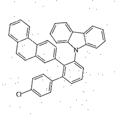 Clc1ccc(-c2cccc(-n3c4ccccc4c4ccccc43)c2-c2ccc3c(ccc4ccccc43)c2)cc1